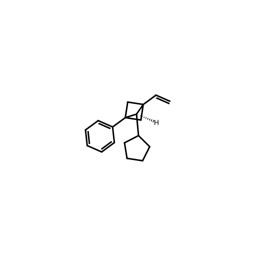 C=CC12CC(c3ccccc3)(C1)[C@@H]2C1CCCC1